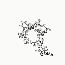 CC[C@H]1OC(=O)C(C)[C@H](OC2C[C@@](C)(OC)C(=O)[C@H](C)O2)[C@H](C)[C@@H](O[C@@H]2O[C@H](C)C[C@H](N(C)C)[C@H]2CC(=O)OCc2ccccc2)[C@@](C)(O)C[C@@H](C)NC[C@H](C)[C@@H](O)[C@]1(C)O